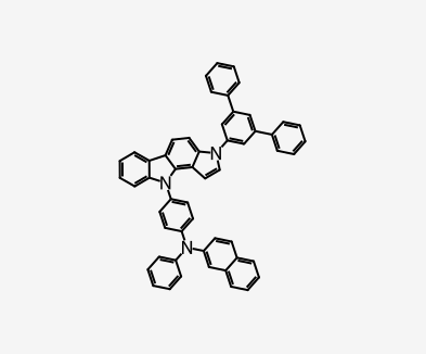 c1ccc(-c2cc(-c3ccccc3)cc(-n3ccc4c3ccc3c5ccccc5n(-c5ccc(N(c6ccccc6)c6ccc7ccccc7c6)cc5)c34)c2)cc1